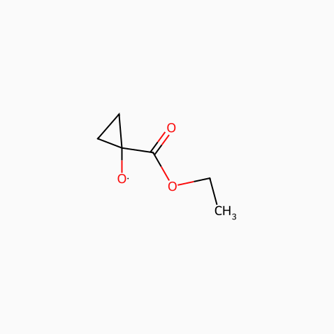 CCOC(=O)C1([O])CC1